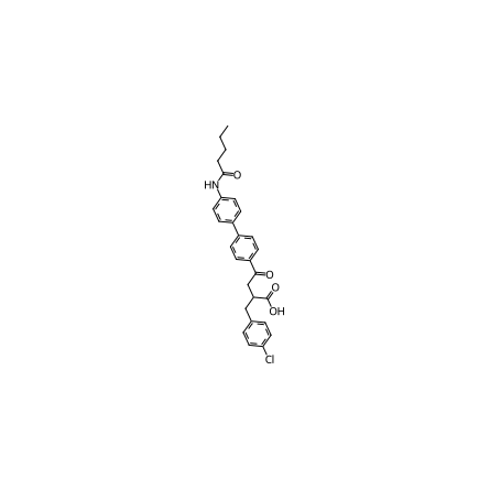 CCCCC(=O)Nc1ccc(-c2ccc(C(=O)CC(Cc3ccc(Cl)cc3)C(=O)O)cc2)cc1